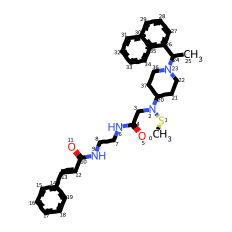 CSN(CC(=O)NCCNC(=O)/C=C/c1ccccc1)C1CCN(C(C)c2cccc3ccccc23)CC1